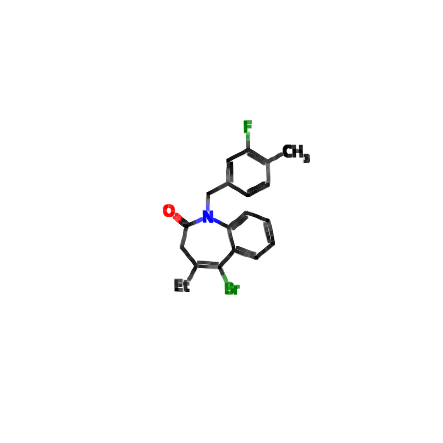 CCC1=C(Br)c2ccccc2N(Cc2ccc(C)c(F)c2)C(=O)C1